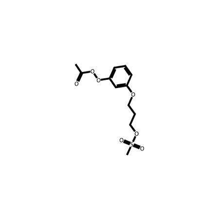 CC(=O)OOc1cccc(OCCCOS(C)(=O)=O)c1